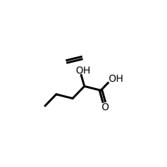 C=C.CCCC(O)C(=O)O